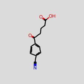 N#Cc1ccc(C(=O)CCCC(=O)O)cc1